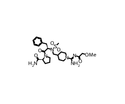 COCC(=O)N=C(N)N1CCC(CN([C@H](Cc2ccccc2)C(=O)N2CCC[C@H]2C(N)=O)S(C)(=O)=O)CC1